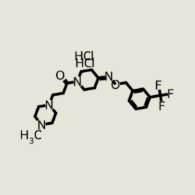 CN1CCN(CCC(=O)N2CCC(=NOCc3cccc(C(F)(F)F)c3)CC2)CC1.Cl.Cl